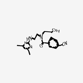 Cc1cc(C)nc(NCCN(CCO)C(=O)c2ccc(C#N)cc2)n1